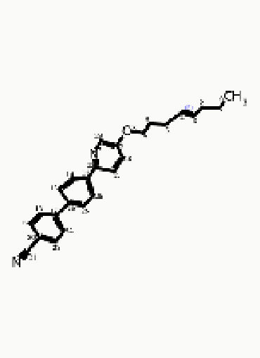 CCC/C=C/CCCOc1ccc(-c2ccc(-c3ccc(C#N)cc3)cc2)nc1